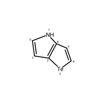 c1cc2[te]ccc2[nH]1